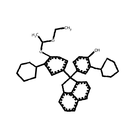 CCOC(C)Oc1ccc(C2(c3ccc(O)c(C4CCCCC4)c3)Cc3cccc4cccc2c34)cc1C1CCCCC1